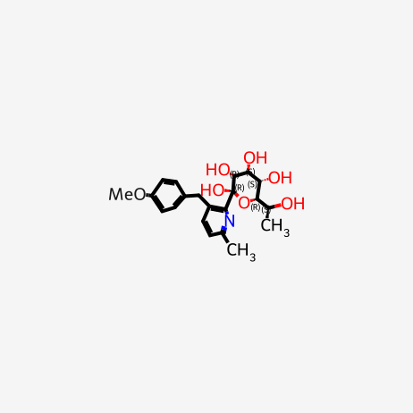 COc1ccc(Cc2ccc(C)nc2[C@@]2(O)O[C@H]([C@H](C)O)[C@@H](O)[C@H](O)[C@H]2O)cc1